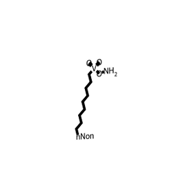 CCCCCCCCCCCCCCCCC[CH2][V](=[O])(=[O])[O]N